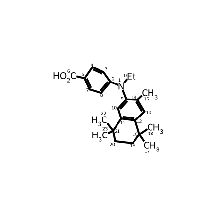 CCN(c1ccc(C(=O)O)cc1)c1cc2c(cc1C)C(C)(C)CCC2(C)C